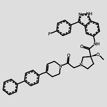 CO[C@@]1(C(=O)Nc2ccc3[nH]nc(-c4ccc(F)cc4)c3c2)CCN(CC(=O)N2CC=C(c3ccc(-c4ccccc4)cc3)CC2)C1